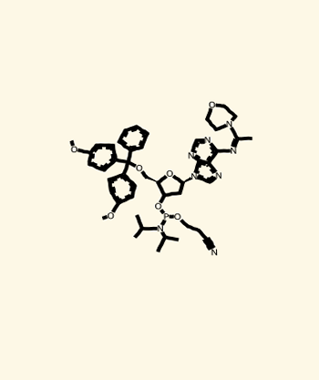 COc1ccc(C(OC[C@H]2O[C@@H](n3cnc4c(/N=C(/C)N5CCOCC5)ncnc43)CC2OP(OCCC#N)N(C(C)C)C(C)C)(c2ccccc2)c2ccc(OC)cc2)cc1